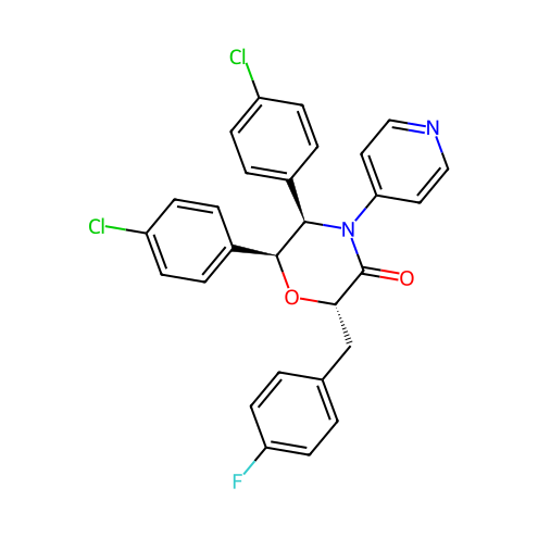 O=C1[C@H](Cc2ccc(F)cc2)O[C@@H](c2ccc(Cl)cc2)[C@@H](c2ccc(Cl)cc2)N1c1ccncc1